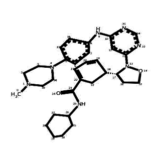 CN1CCN(c2ccc(Nc3cc(N4OCC[C@@H]4C4C=CC=C(C(=O)NC5CCCCC5)C4)ncn3)cc2)CC1